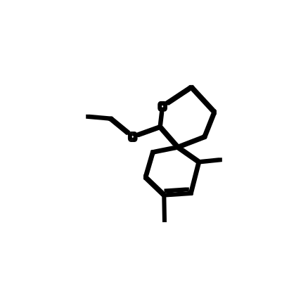 CCOC1OCCCC12CCC(C)=CC2C